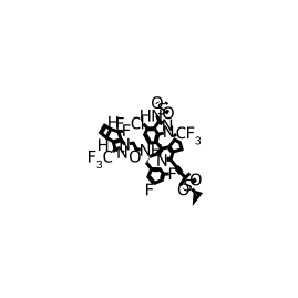 CC(C)(C#Cc1nc([C@H](Cc2cc(F)cc(F)c2)NC(=O)Cn2nc(C(F)(F)F)c3c2C(F)(F)[C@@H]2C=C[C@H]32)c(-c2ccc(Cl)c3c(NS(C)(=O)=O)nn(CC(F)(F)F)c23)c2c1CCC2)S(=O)(=O)C1CC1